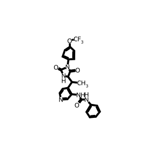 CC(c1ccncc1NC(=O)Nc1ccccc1)C1NC(=O)N(c2ccc(OC(F)(F)F)cc2)C1=O